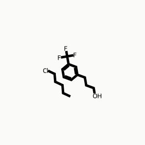 CCCCCCl.OCCCc1cccc(C(F)(F)F)c1